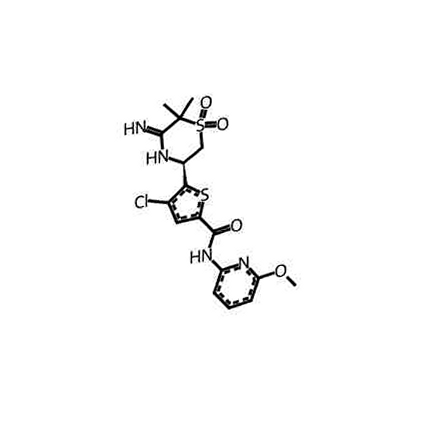 COc1cccc(NC(=O)c2cc(Cl)c([C@@H]3CS(=O)(=O)C(C)(C)C(=N)N3)s2)n1